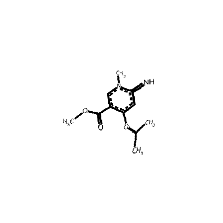 COC(=O)c1cn(C)c(=N)cc1OC(C)C